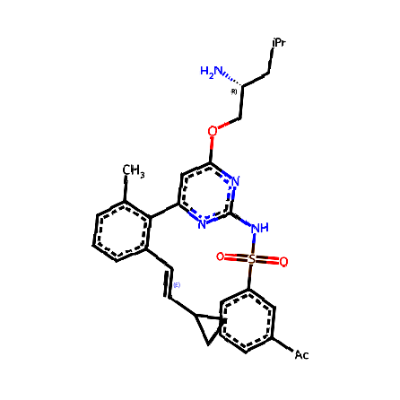 CC(=O)c1cccc(S(=O)(=O)Nc2nc(OC[C@H](N)CC(C)C)cc(-c3c(C)cccc3/C=C/C3CC3)n2)c1